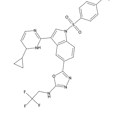 Cc1ccc(S(=O)(=O)n2cc(C3=NC=CC(C4CC4)N3)c3cc(-c4nnc(NCC(F)(F)F)o4)ccc32)cc1